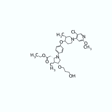 CCOC(=O)C[C@H]1[C@H](C)[C@@H](OCCCO)CN1c1ccc(OC2CCN(c3cc(OC)ncc3Cl)CC2C)cc1